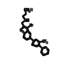 O=C(O)CCNCc1sc2ccc(-c3ccc(-c4ccccc4)c(C(F)(F)F)c3)cc2c1Br